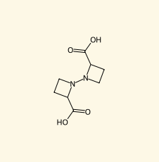 O=C(O)C1CCN1N1CCC1C(=O)O